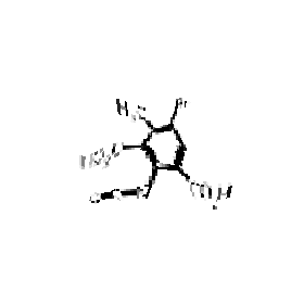 Cc1c(Br)cc(C(=O)O)c(N=C=O)c1C(=O)O